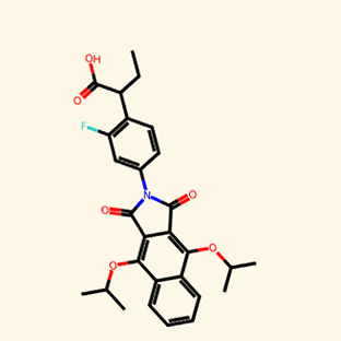 CCC(C(=O)O)c1ccc(N2C(=O)c3c(c(OC(C)C)c4ccccc4c3OC(C)C)C2=O)cc1F